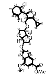 COC(=O)c1cc(OC(C)C)c2nc(OC3CO[C@@H]4C(OCc5c(C6=C(Cl)CCC=C6Cl)noc5C5CC5)CO[C@H]34)sc2c1